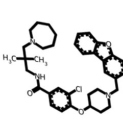 CC(C)(CNC(=O)c1ccc(OC2CCN(Cc3ccc4oc5ccccc5c4c3)CC2)c(Cl)c1)CN1CCCCCC1